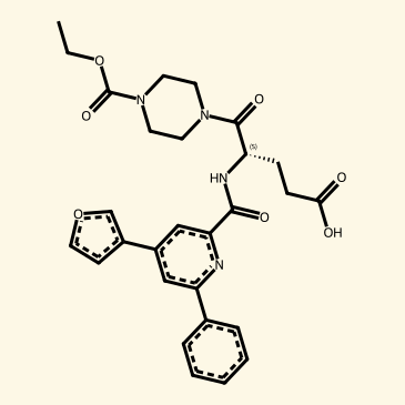 CCOC(=O)N1CCN(C(=O)[C@H](CCC(=O)O)NC(=O)c2cc(-c3ccoc3)cc(-c3ccccc3)n2)CC1